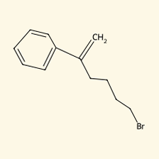 C=C(CCCCBr)c1ccccc1